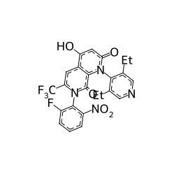 CCc1cncc(CC)c1-n1c(=O)cc(O)c2cc(C(F)(F)F)n(-c3c(F)cccc3[N+](=O)[O-])c(=O)c21